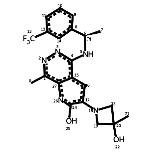 Cc1nnc(N[C@H](C)c2cccc(C(F)(F)F)c2)c2cc(N3CC(C)(O)C3)c(O)nc12